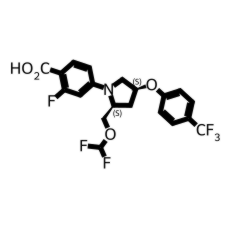 O=C(O)c1ccc(N2C[C@@H](Oc3ccc(C(F)(F)F)cc3)C[C@H]2COC(F)F)cc1F